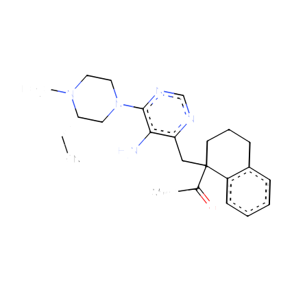 COC(=O)C1(Cc2ncnc(N3CCN(C(=O)O)[C@@H](CC#N)C3)c2N)CCCc2ccccc21